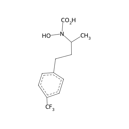 CC(CCc1ccc(C(F)(F)F)cc1)N(O)C(=O)O